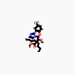 CCCCC(CCCC)(C(=O)OC)C(OC)C(Oc1ccc(Cl)cc1)n1ccnc1